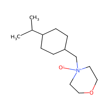 CC(C)C1CCC(C[N+]2([O-])CCOCC2)CC1